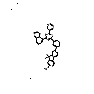 CC1(C)c2cc(C#N)ccc2-c2ccc(-c3cccc(-c4nc(-c5cccnc5)nc(-c5cccc6ccccc56)n4)c3)cc21